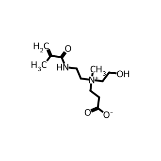 C=C(C)C(=O)NCC[N+](C)(CCO)CCC(=O)[O-]